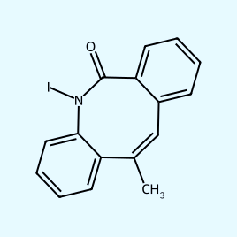 C/C1=C/c2ccccc2C(=O)N(I)c2ccccc21